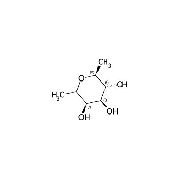 CC1O[C@@H](C)[C@H](O)[C@@H](O)[C@H]1O